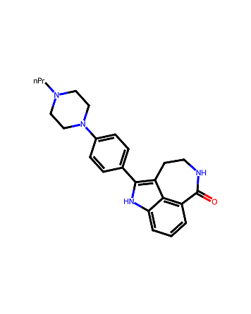 CCCN1CCN(c2ccc(-c3[nH]c4cccc5c4c3CCNC5=O)cc2)CC1